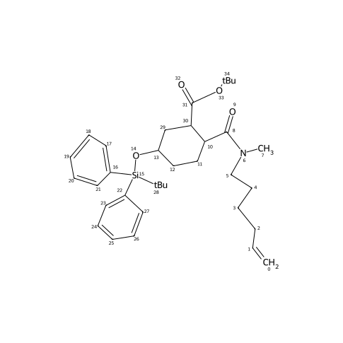 C=CCCCCN(C)C(=O)C1CCC(O[Si](c2ccccc2)(c2ccccc2)C(C)(C)C)CC1C(=O)OC(C)(C)C